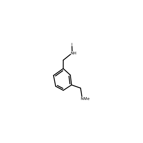 CNCc1cccc(CNI)c1